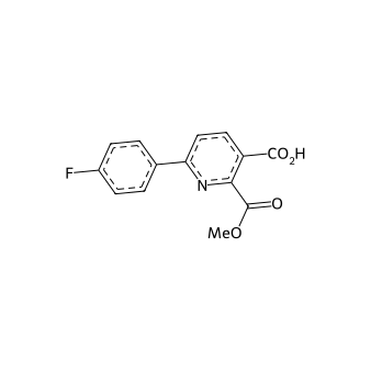 COC(=O)c1nc(-c2ccc(F)cc2)ccc1C(=O)O